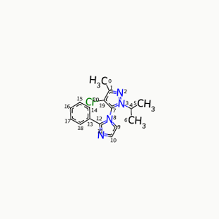 Cc1nn(C(C)C)c(-n2ccnc2-c2ccccc2)c1Cl